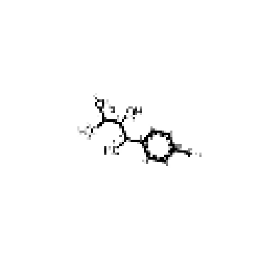 CC(C)[C@@H](O)[C@H](O)c1ccc(F)cc1